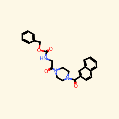 O=C(NCC(=O)N1CCN(C(=O)c2ccc3ccccc3c2)CC1)OCc1ccccc1